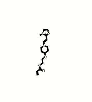 C=CC(=O)OCCOC1CCN(C=CC2=[N+](C)CCS2)CC1